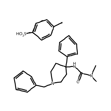 CN(C)C(=O)NC1(c2ccccc2)CCN(Cc2ccccc2)CC1.Cc1ccc(S(=O)(=O)O)cc1